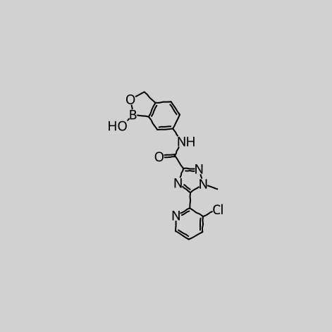 Cn1nc(C(=O)Nc2ccc3c(c2)B(O)OC3)nc1-c1ncccc1Cl